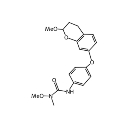 COC1CCc2ccc(Oc3ccc(NC(=O)N(C)OC)cc3)cc2O1